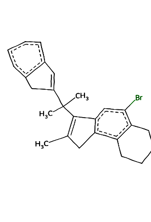 CC1=C(C(C)(C)C2=Cc3ccccc3C2)c2cc(Br)c3c(c2C1)CCCC3